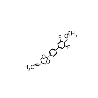 C/C=C/[C@H]1CO[C@H](c2ccc(-c3cc(F)c(COC)c(F)c3)cc2)OC1